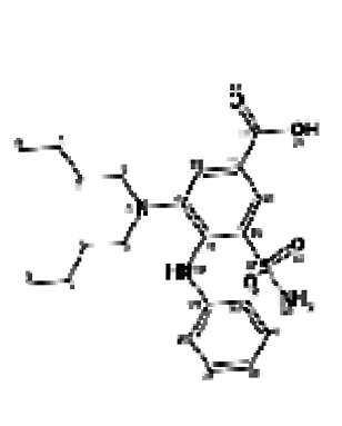 CCCCN(CCCC)c1cc(C(=O)O)cc(S(N)(=O)=O)c1Nc1ccccc1